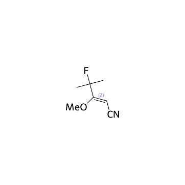 CO/C(=C\C#N)C(C)(C)F